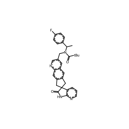 CC(c1ccc(F)cc1)N(Cc1cnc2cc3c(cc2c1)CC1(C3)C(=O)Nc2ncccc21)C(=O)C(C)(C)C